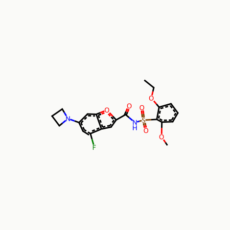 CCOc1cccc(OC)c1S(=O)(=O)NC(=O)c1cc2c(F)cc(N3CCC3)cc2o1